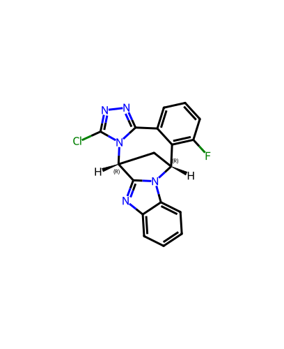 Fc1cccc2c1[C@H]1C[C@H](c3nc4ccccc4n31)n1c(Cl)nnc1-2